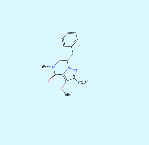 CCCCOc1c(C(=O)O)nn2c1C(=O)N(C(C)C)CC2Cc1ccccc1